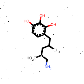 CC(Cc1ccc(O)c(O)c1O)CC(CN)C(=O)O